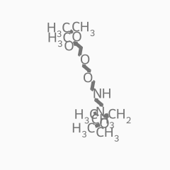 C=C(OC(C)(C)C)N(C)CCNCCOCCOCCC(=O)OC(C)(C)C